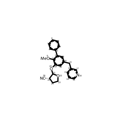 COc1c(-c2[c]cccc2)[c]c(Cc2cccnc2)cc1OC1OCC[C@@H]1C#N